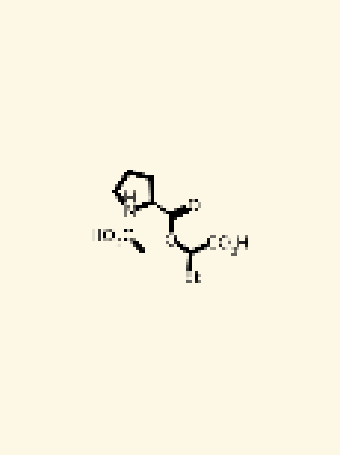 CC(=O)O.CCC(OC(=O)[C@@H]1CCCN1)C(=O)O